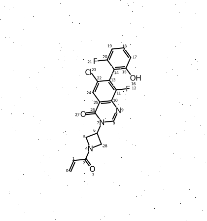 C=CC(=O)N1CC(n2cnc3c(F)c(-c4c(O)cccc4F)c(Cl)cc3c2=O)C1